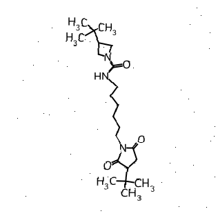 CC(C)(C)C1CN(C(=O)NCCCCCCN2C(=O)CC(C(C)(C)C)C2=O)C1